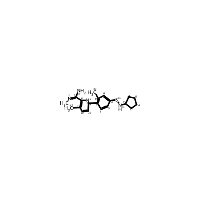 C/N=C(/N)c1nc(-c2ccc(SNC3CCCC3)cc2C)ccc1C